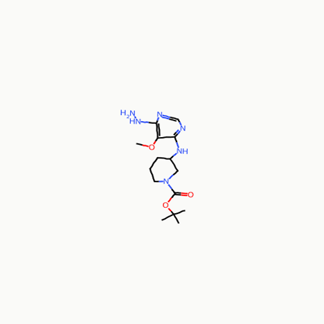 COc1c(NN)ncnc1NC1CCCN(C(=O)OC(C)(C)C)C1